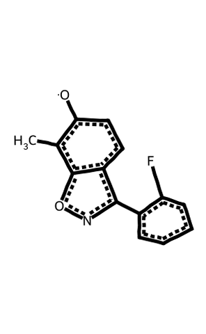 Cc1c([O])ccc2c(-c3ccccc3F)noc12